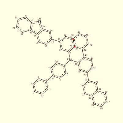 c1ccc(-c2ccc(N(c3cccc(-c4ccc5c(c4)oc4ccccc45)c3)c3cc(-c4ccc5ccccc5c4)ccc3-c3ccccc3)cc2)cc1